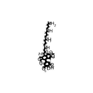 COc1cc(C2c3cc4c(cc3C(NC(=O)CNCCCNCCCNCCCN)C3COC(=O)C23)OCO4)cc(OC)c1O